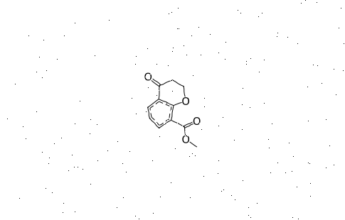 COC(=O)c1cccc2c1OCCC2=O